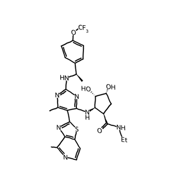 CCNC(=O)[C@@H]1C[C@@H](O)[C@@H](O)[C@@H]1Nc1nc(N[C@H](C)c2ccc(OC(F)(F)F)cc2)nc(C)c1-c1nc2c(C)nccc2s1